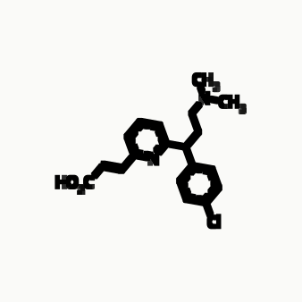 CN(C)CCC(c1ccc(Cl)cc1)c1cccc(C=CC(=O)O)n1